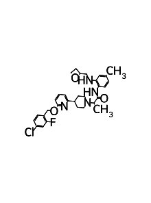 Cc1ccc(NC(=O)C(C)N2CCC(c3cccc(OCc4ccc(Cl)cc4F)n3)CC2)c(NCC2CCO2)c1